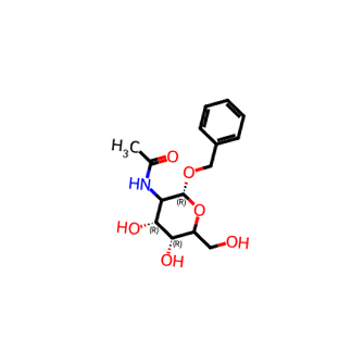 CC(=O)NC1[C@H](OCc2ccccc2)OC(CO)[C@H](O)[C@@H]1O